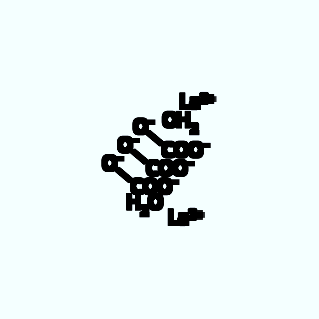 O.O.O=C([O-])[O-].O=C([O-])[O-].O=C([O-])[O-].[La+3].[La+3]